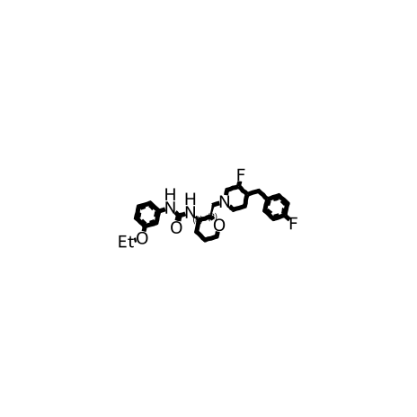 CCOc1cccc(NC(=O)N[C@@H]2CCCO[C@@H]2CN2CCC(Cc3ccc(F)cc3)C(F)C2)c1